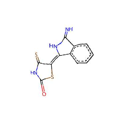 N=C1NC(=C2SC(=O)NC2=S)c2ccccc21